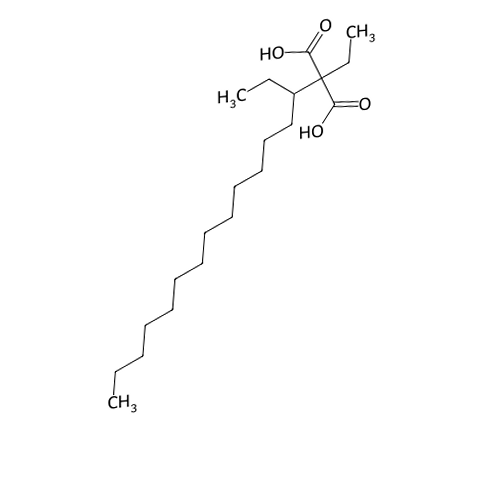 CCCCCCCCCCCCCC(CC)C(CC)(C(=O)O)C(=O)O